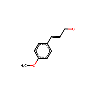 COc1ccc(C=CC[O])cc1